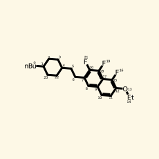 CCCCC1CCC(CCc2cc3ccc(OCC)c(F)c3c(F)c2F)CC1